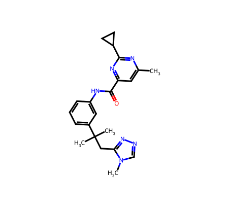 Cc1cc(C(=O)Nc2cccc(C(C)(C)Cc3nncn3C)c2)nc(C2CC2)n1